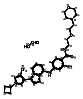 CCc1cc(Nc2nccn3c(-c4cn(C5CCC5)nc4C(F)(F)F)cnc23)ccc1C(=O)NCCOCCN1CCOCC1.O=CO